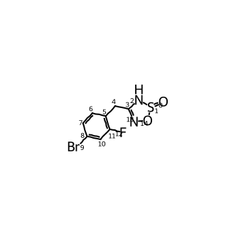 O=S1NC(Cc2ccc(Br)cc2F)=NO1